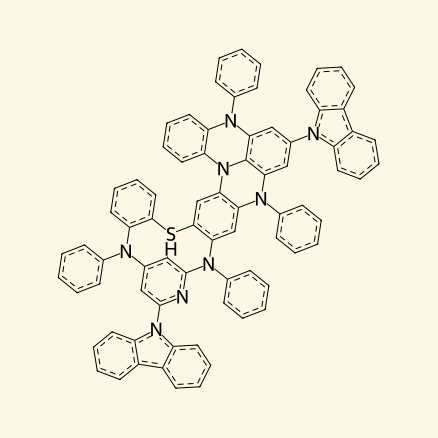 c1ccc(N2c3ccccc3N3c4cc5c(cc4N(c4ccccc4)c4cc(-n6c7ccccc7c7ccccc76)cc2c43)N(c2ccccc2)c2nc(-n3c4ccccc4c4ccccc43)cc3c2[SH]5c2ccccc2N3c2ccccc2)cc1